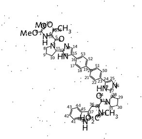 COC(=O)N[C@H](C(=O)N1CCCC1c1ncc(-c2ccc(-c3ccc(-c4cnc([C@@H]5CCCN5C(=O)[C@H](Cc5c[nH]c6ccccc56)N(C)C(=O)O)[nH]4)cc3)cc2)[nH]1)[C@@H](C)OC